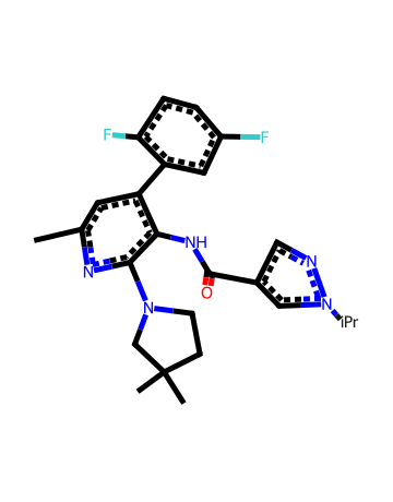 Cc1cc(-c2cc(F)ccc2F)c(NC(=O)c2cnn(C(C)C)c2)c(N2CCC(C)(C)C2)n1